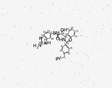 CC(C)Cc1ccc(C(=O)NC(c2ccccc2)C(O)C(=O)Nc2ccc3nc(N)[nH]c3c2)cc1